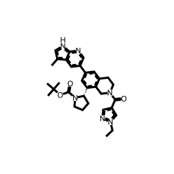 CCn1cc(C(=O)N2CCc3cc(-c4cnc5[nH]cc(C)c5c4)cc([C@@H]4CCCN4C(=O)OC(C)(C)C)c3C2)cn1